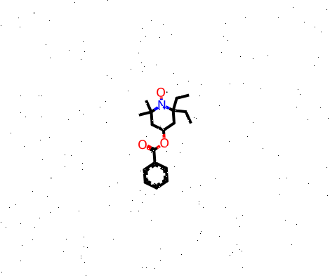 CCC1(CC)CC(OC(=O)c2ccccc2)CC(C)(C)N1[O]